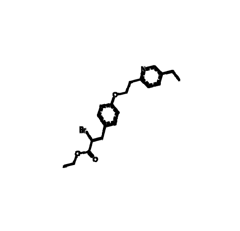 CCOC(=O)C(Br)Cc1ccc(OCCc2ccc(CC)cn2)cc1